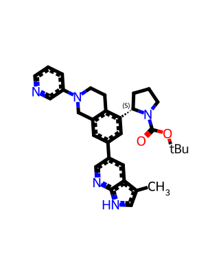 Cc1c[nH]c2ncc(-c3cc4c(c([C@@H]5CCCN5C(=O)OC(C)(C)C)c3)CCN(c3cccnc3)C4)cc12